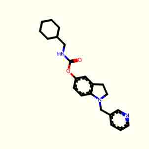 O=C(NCC1CCCCC1)Oc1ccc2c(c1)CCN2Cc1cccnc1